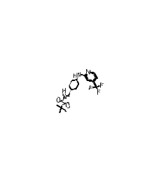 CC(C)(C)S(=O)(=O)NC[C@H]1CC[C@H](Nc2cc(C(F)(F)F)ccn2)CC1